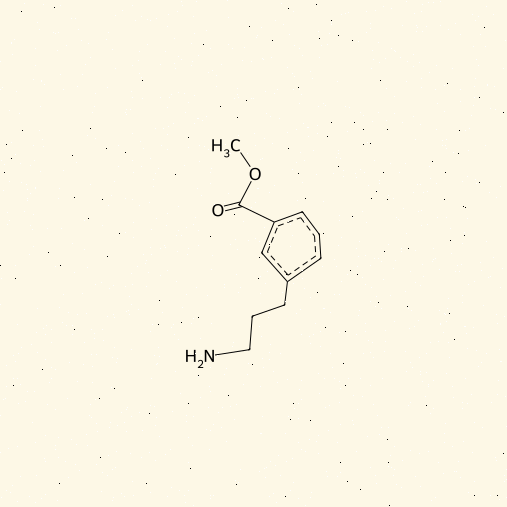 COC(=O)c1cccc(CCCN)c1